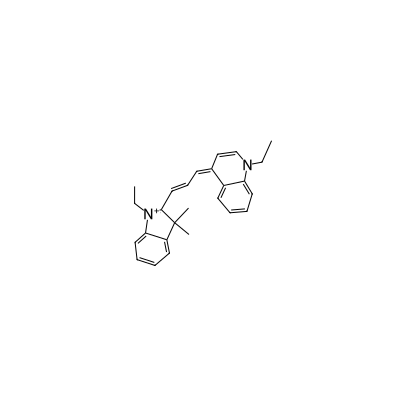 CCN1C=C/C(=C/C=C/C2=[N+](CC)c3ccccc3C2(C)C)c2ccccc21